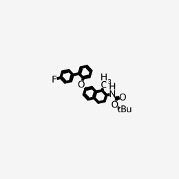 CC1c2cc(Oc3ccccc3-c3ccc(F)cc3)ccc2CCC1NC(=O)OC(C)(C)C